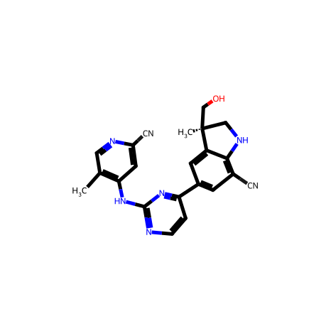 Cc1cnc(C#N)cc1Nc1nccc(-c2cc(C#N)c3c(c2)[C@@](C)(CO)CN3)n1